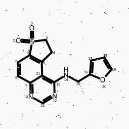 O=S1(=O)CCc2c1ccc1ncnc(NCc3ccco3)c21